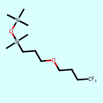 C[Si](C)(C)O[Si](C)(C)CCCOC[CH]CC(F)(F)F